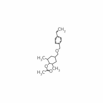 C=Cc1ccc(COCC2CC(C)C(OC(C)=O)C(C)C2)cc1